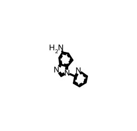 Nc1ccc2c(c1)ncn2-c1ccccn1